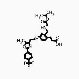 Cc1oc(-c2ccc(C(F)(F)F)cc2)nc1CCOc1ccc(CCC(=O)O)c(CNCC(=O)OC(C)C)c1